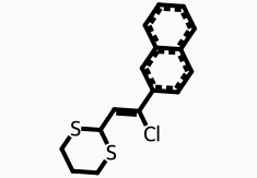 ClC(=CC1SCCCS1)c1ccc2ccccc2c1